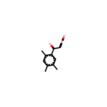 Cc1cc(C)c(C(=O)C=C=O)cc1C